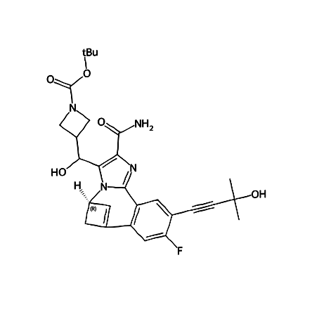 CC(C)(O)C#Cc1cc2c(cc1F)C1=C[C@@H](C1)n1c-2nc(C(N)=O)c1C(O)C1CN(C(=O)OC(C)(C)C)C1